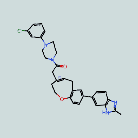 Cc1nc2ccc(-c3ccc4c(c3)C/C=C(/CC(=O)N3CCN(c5cccc(Cl)c5)CC3)CCO4)cc2[nH]1